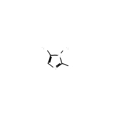 N#Cc1cnc(C(F)(F)F)n1C#N